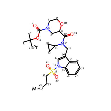 CCCC(C)(C)OC(=O)N1CCOC(C(=O)N(Cc2cn(S(=O)(=O)CCOC)c3ccccc23)C2CC2)C1